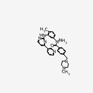 Cc1ccc(N(N)C(=O)c2ccc(CN3CCN(C)CC3)cc2)cc1Nc1nccc(-c2cccnc2)n1